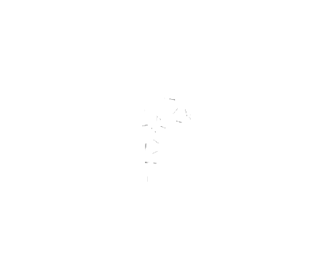 CC1C(=O)N(c2ccc(S(=O)(=O)C(F)(F)F)cc2)C(=O)N1Cc1ccncc1C(=O)O